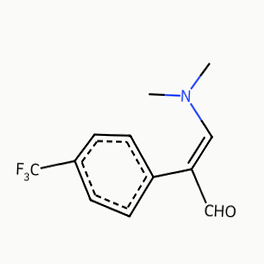 CN(C)/C=C(/C=O)c1ccc(C(F)(F)F)cc1